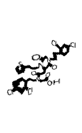 O=C(O)CN(CCc1ccc(Cl)cc1Cl)C(=O)CC1C(=O)N(CCc2ccc(Cl)cc2Cl)CC(=O)N1CCc1cccs1